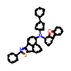 c1ccc(-c2ccc(N(c3ccc4c5c(cccc35)-c3sc(-c5ccccc5)nc3-4)c3cccc4c3oc3ccccc34)cc2)cc1